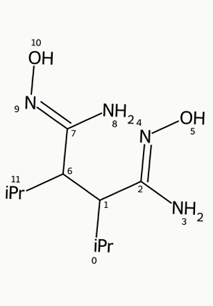 CC(C)C(/C(N)=N/O)C(/C(N)=N/O)C(C)C